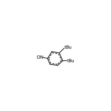 CC(C)(C)c1ccc(N=O)cc1C(C)(C)C